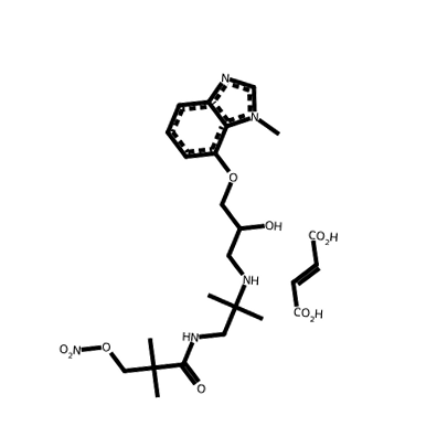 Cn1cnc2cccc(OCC(O)CNC(C)(C)CNC(=O)C(C)(C)CO[N+](=O)[O-])c21.O=C(O)C=CC(=O)O